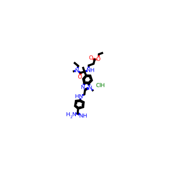 CCOC(=O)CCNC(C)(C(=O)N(C)CC)c1ccc2c(c1)nc(CNc1ccc(C(=N)N)cc1)n2C.Cl